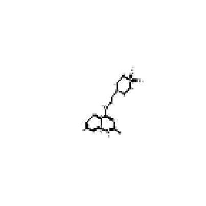 Cc1nc(OCCN2CCS(=O)(=O)CC2)c2ccccc2n1